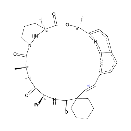 CC(C)[C@@H]1NC(=O)C2(/C=C/c3ccc4ccc(nc4c3)[C@@H](C)OC(=O)[C@@H]3CCCN(N3)C(=O)[C@H](C)NC1=O)CCCCC2